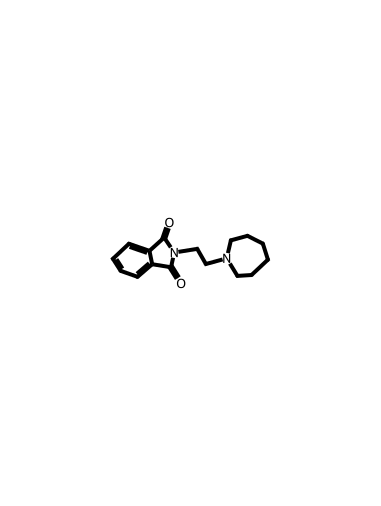 O=C1c2ccccc2C(=O)N1CCN1CCCCCC1